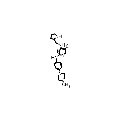 CN1CCN(c2ccc(Nc3ncc(Cl)c(NCC4CCCN4)n3)cc2)CC1